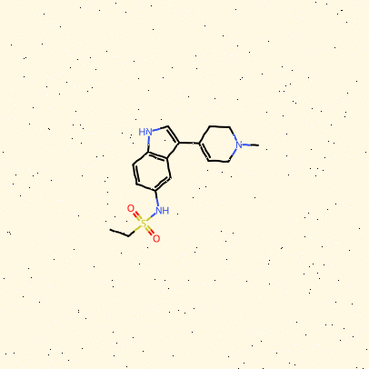 CCS(=O)(=O)Nc1ccc2[nH]cc(C3=CCN(C)CC3)c2c1